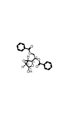 O=C(OC[C@@H](OC(=O)c1ccccc1)[C@H]1O[C@@H](O)[C@@H]2O[C@@H]21)c1ccccc1